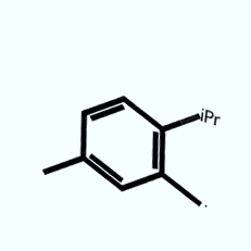 [CH2]c1cc(C)ccc1C(C)C